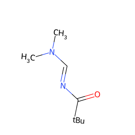 CN(C)/C=N/C(=O)C(C)(C)C